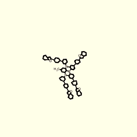 Cc1cc2c3c(c1)N(c1cccc(-c4ccc(-c5cc6ccccc6o5)cc4)c1)c1cc(-c4ccc(-c5cc6ccccc6o5)cc4)ccc1B3c1ccc(-c3ccc(-c4cc5ccccc5o4)cc3)cc1N2c1cccc(-c2ccc(-c3cc4ccccc4o3)cc2)c1